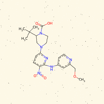 COCc1cc(Nc2nc(N3CCN(C(=O)O)C(C(C)(C)C)C3)ccc2[N+](=O)[O-])ccn1